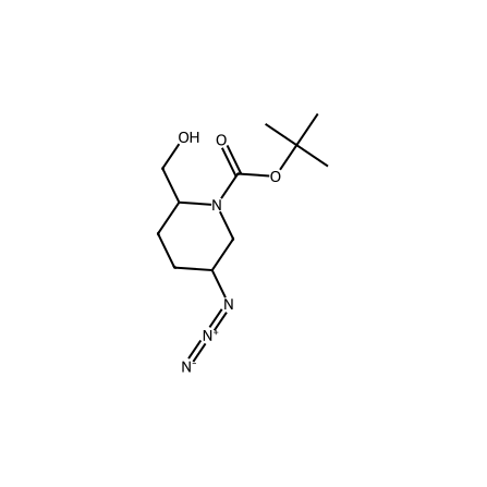 CC(C)(C)OC(=O)N1CC(N=[N+]=[N-])CCC1CO